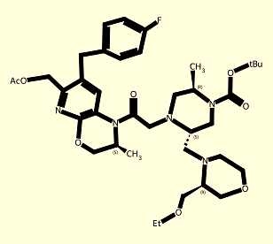 CCOC[C@@H]1COCCN1C[C@H]1CN(C(=O)OC(C)(C)C)[C@H](C)CN1CC(=O)N1c2cc(Cc3ccc(F)cc3)c(COC(C)=O)nc2OC[C@@H]1C